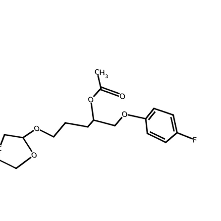 CC(=O)OC(CCCOC1CCCCO1)COc1ccc(F)cc1